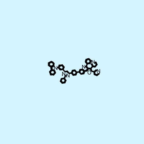 c1ccc(-c2nc(-c3ccc(-c4ccc5c(c4)nc(-c4ccccc4)c4c(-c6cccnc6)c(-c6cccnc6)oc45)cc3)cc(-c3cccc(-n4c5ccccc5c5ccccc54)c3)n2)cc1